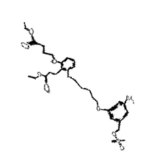 Bc1cc(COS(=C)(C)=O)cc(OCCCCCCc2cccc(OCCCC(=O)OCC)c2CCC(=O)OCC)c1